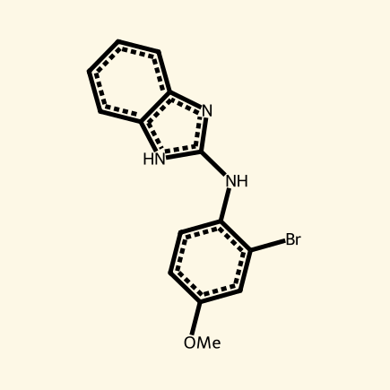 COc1ccc(Nc2nc3ccccc3[nH]2)c(Br)c1